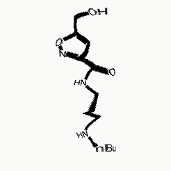 CCCCNCCCNC(=O)c1cc(CO)on1